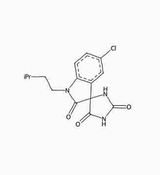 CC(C)CCN1C(=O)C2(NC(=O)NC2=O)c2cc(Cl)ccc21